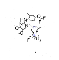 C=C(F)/C=C(\C/C=C(/P)CF)Cn1cc(OC)c(=O)nc1Nc1ccc(OC(F)F)cc1C